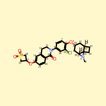 CN1[C@@H]2C[C@@H](Oc3ccc(N4CCc5cc(OC6CS(=O)(=O)C6)ccc5C4=O)cc3Cl)C[C@H]3CCC321